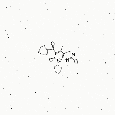 Cc1c(C(=O)c2ccccc2)c(=O)n(C2CCCC2)c2nc(Cl)ncc12